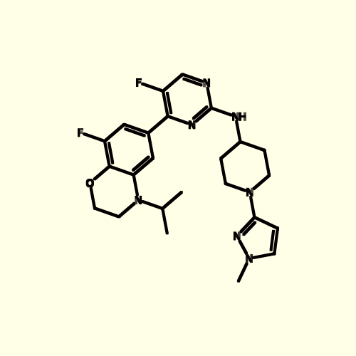 CC(C)N1CCOc2c(F)cc(-c3nc(NC4CCN(c5ccn(C)n5)CC4)ncc3F)cc21